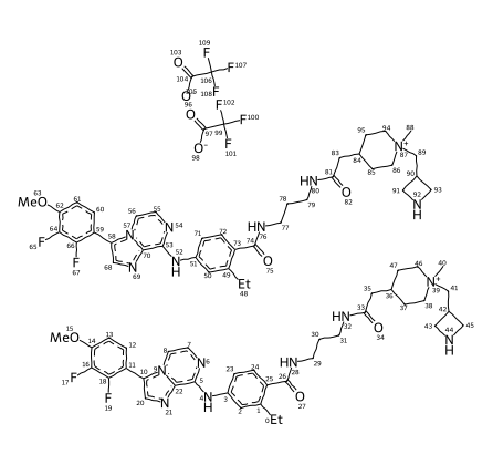 CCc1cc(Nc2nccn3c(-c4ccc(OC)c(F)c4F)cnc23)ccc1C(=O)NCCCNC(=O)CC1CC[N+](C)(CC2CNC2)CC1.CCc1cc(Nc2nccn3c(-c4ccc(OC)c(F)c4F)cnc23)ccc1C(=O)NCCCNC(=O)CC1CC[N+](C)(CC2CNC2)CC1.O=C([O-])C(F)(F)F.O=C([O-])C(F)(F)F